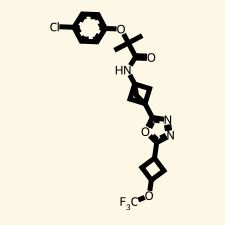 CC(C)(Oc1ccc(Cl)cc1)C(=O)NC12CC(c3nnc(C4CC(OC(F)(F)F)C4)o3)(C1)C2